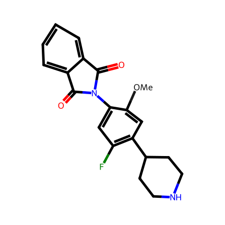 COc1cc(C2CCNCC2)c(F)cc1N1C(=O)c2ccccc2C1=O